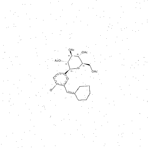 CC(=O)OC[C@H]1O[C@@H](c2ccc(Cl)c(C=C3CCCCC3)c2)[C@H](OC(C)=O)[C@@H](OC(C)=O)[C@@H]1OC(C)=O